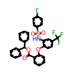 O=C(OC(c1ccccc1)c1ccccc1)c1ccccc1Oc1ccc(C(F)(F)F)cc1NS(=O)(=O)c1ccc(F)cc1